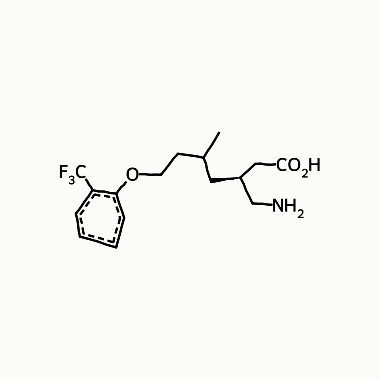 CC(CCOc1ccccc1C(F)(F)F)C[C@H](CN)CC(=O)O